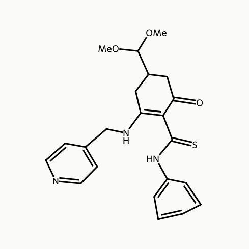 COC(OC)C1CC(=O)C(C(=S)Nc2ccccc2)=C(NCc2ccncc2)C1